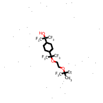 CCC(C)(OCCOC(C1CCC(C(O)(C(F)(F)F)C(F)(F)F)CC1)(C(F)(F)F)C(F)(F)F)C(F)(F)F